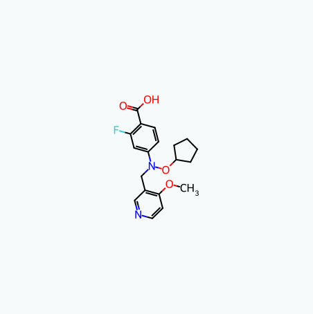 COc1ccncc1CN(OC1CCCC1)c1ccc(C(=O)O)c(F)c1